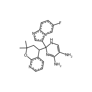 CC1(C)CC(C2(c3cnc4ccc(F)cn34)N=C(N)C(N)=CN2)c2cccnc2O1